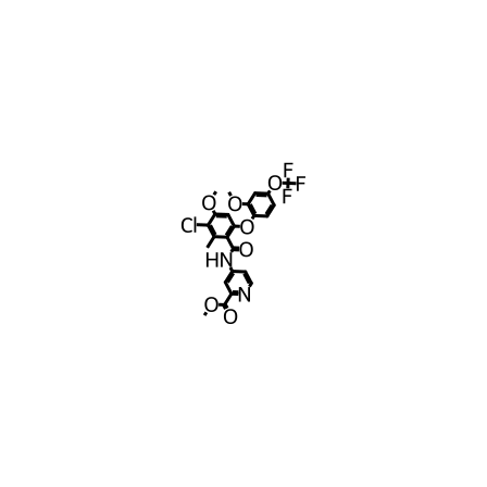 COC(=O)c1cc(NC(=O)c2c(Oc3ccc(OC(F)(F)F)cc3OC)cc(OC)c(Cl)c2C)ccn1